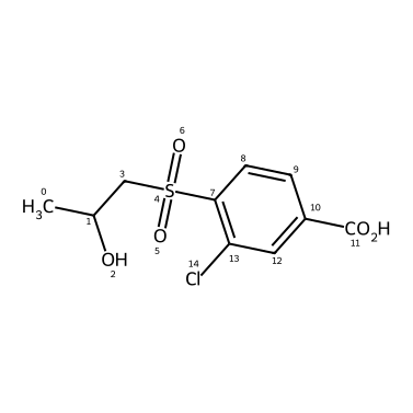 CC(O)CS(=O)(=O)c1ccc(C(=O)O)cc1Cl